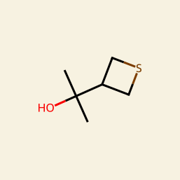 CC(C)(O)C1CSC1